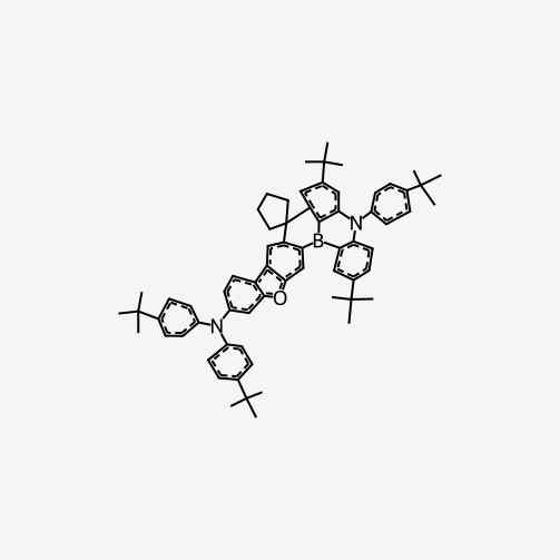 CC(C)(C)c1ccc(N(c2ccc(C(C)(C)C)cc2)c2ccc3c(c2)oc2cc4c(cc23)C2(CCCC2)c2cc(C(C)(C)C)cc3c2B4c2cc(C(C)(C)C)ccc2N3c2ccc(C(C)(C)C)cc2)cc1